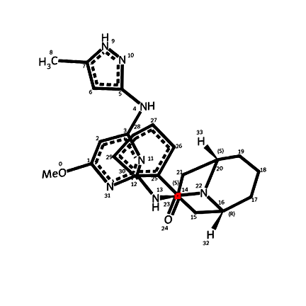 COc1cc(Nc2cc(C)[nH]n2)nc(N[C@@H]2C[C@H]3CCC[C@@H](C2)N3C(=O)c2ccccn2)n1